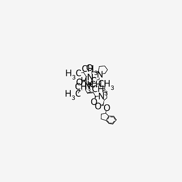 C/C(=C\[C@H](C(C)C)N(C)C(=O)[C@@H](NC(=O)C1CCCCN1C(C)C)C(C)C)C(=O)N1CCC[C@H]1C(=O)OC1CCc2ccccc21